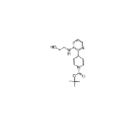 CC(C)(C)OC(=O)N1CCC(c2ncccc2NCCO)CC1